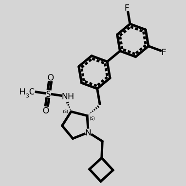 CS(=O)(=O)N[C@H]1CCN(CC2CCC2)[C@H]1Cc1cccc(-c2cc(F)cc(F)c2)c1